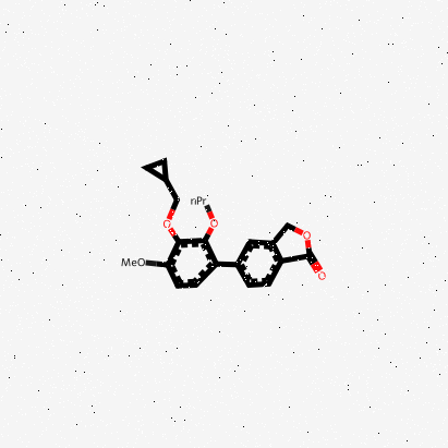 CCCOc1c(-c2ccc3c(c2)COC3=O)ccc(OC)c1OCC1CC1